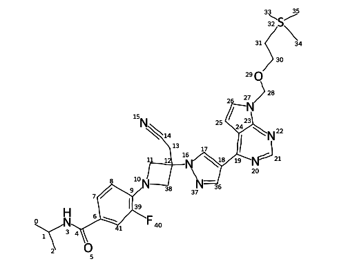 CC(C)NC(=O)c1ccc(N2CC(CC#N)(n3cc(-c4ncnc5c4ccn5COCCS(C)(C)C)cn3)C2)c(F)c1